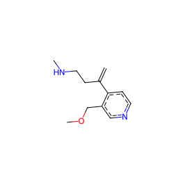 C=C(CCNC)c1ccncc1COC